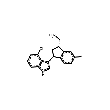 NC[C@H]1C[C@H](c2c[nH]c3cccc(Cl)c23)c2ccc(F)cc21